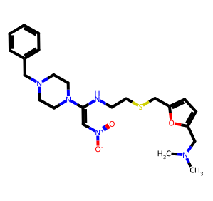 CN(C)Cc1ccc(CSCCNC(=C[N+](=O)[O-])N2CCN(Cc3ccccc3)CC2)o1